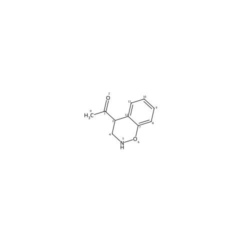 CC(=O)C1CNOc2ccccc21